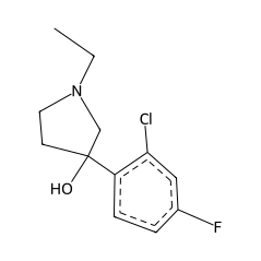 CCN1CCC(O)(c2ccc(F)cc2Cl)C1